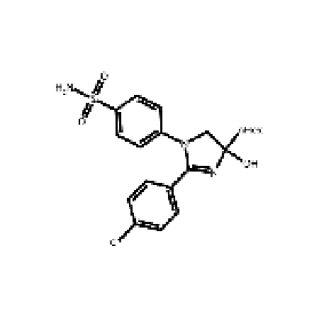 CCCCCCC1(O)CN(c2ccc(S(N)(=O)=O)cc2)C(c2ccc(Cl)cc2)=N1